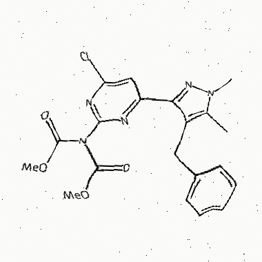 COC(=O)N(C(=O)OC)c1nc(Cl)cc(-c2nn(C)c(C)c2Cc2ccccc2)n1